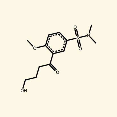 COc1ccc(S(=O)(=O)N(C)C)cc1C(=O)CCCO